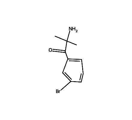 CC(C)(N)C(=O)c1cccc(Br)c1